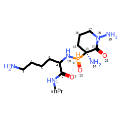 CCCNC(=O)C(CCCCN)N[PH](=O)[C@@]1(N)CCCN(N)C1=O